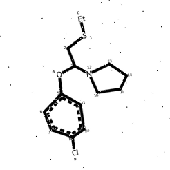 CCSCC(Oc1ccc(Cl)cc1)N1CCCC1